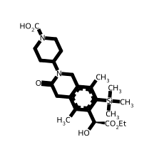 CCOC(=O)[C@@H](O)c1c(C)c2c(c(C)c1[Si](C)(C)C)CN(C1CCN(C(=O)O)CC1)C(=O)C2